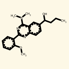 CCCC(O)c1ccc2nc(-c3ccccc3OC)nc(N(C)C)c2c1